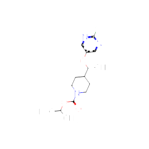 CC(C)OC(=O)N1CCC([C@@H](C)Oc2cnc(Cl)nc2)CC1